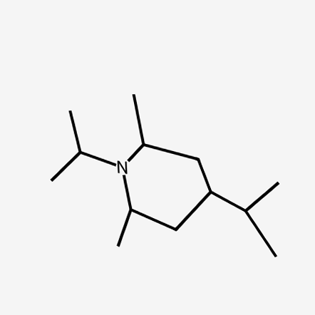 CC(C)C1CC(C)N(C(C)C)C(C)C1